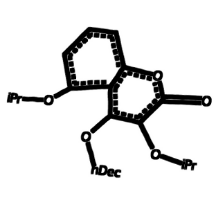 CCCCCCCCCCOc1c(OC(C)C)c(=O)oc2cccc(OC(C)C)c12